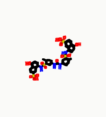 Cc1ccc(NC(=O)Nc2ccc(C)c(S(=O)(=O)Nc3ccc(O)c4ccc(S(=O)(=O)O)cc34)c2)cc1S(=O)(=O)Nc1ccc(O)c2ccc(S(=O)(=O)O)cc12